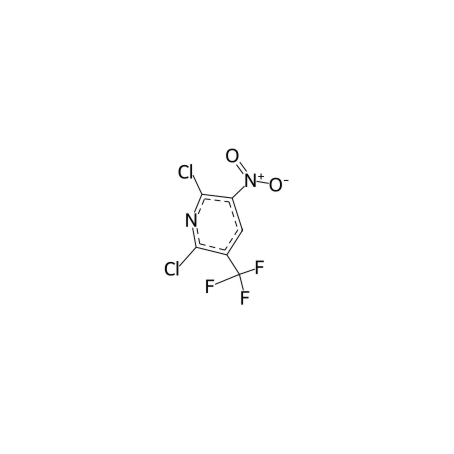 O=[N+]([O-])c1cc(C(F)(F)F)c(Cl)nc1Cl